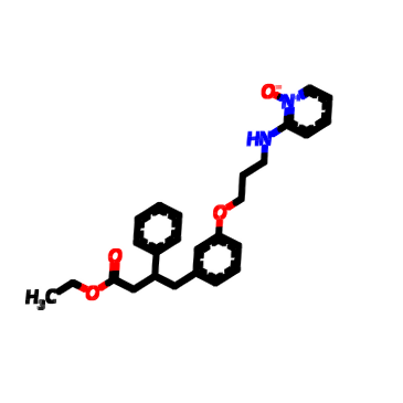 CCOC(=O)CC(Cc1cccc(OCCCNc2cccc[n+]2[O-])c1)c1ccccc1